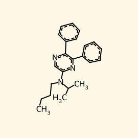 CCCCN(c1cnc(-c2ccccc2)c(-c2ccccc2)n1)C(C)C